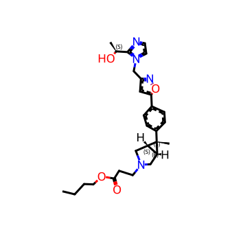 CCCCOC(=O)CCN1C[C@@H]2[C@H](C1)[C@]2(C)c1ccc(-c2cc(Cn3ccnc3[C@H](C)O)no2)cc1